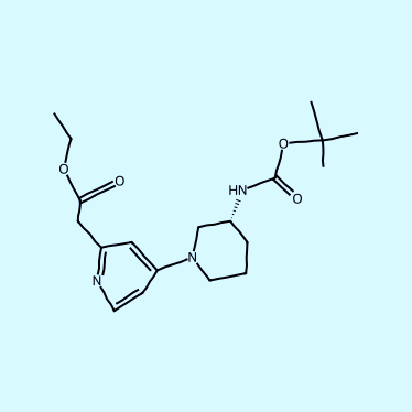 CCOC(=O)Cc1cc(N2CCC[C@@H](NC(=O)OC(C)(C)C)C2)ccn1